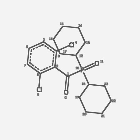 O=C(c1c(Cl)cccc1Cl)P(=O)(C1CCCCC1)C1CCCCC1